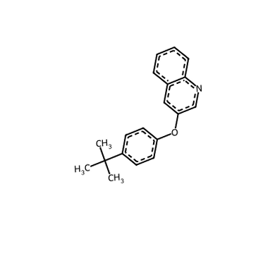 CC(C)(C)c1ccc(Oc2cnc3ccccc3c2)cc1